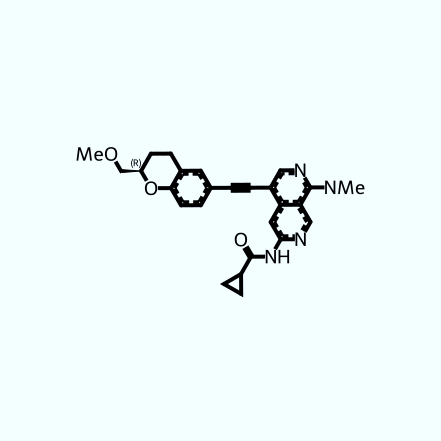 CNc1ncc(C#Cc2ccc3c(c2)CC[C@H](COC)O3)c2cc(NC(=O)C3CC3)ncc12